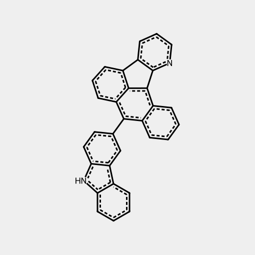 c1cnc2c(c1)-c1cccc3c(-c4ccc5[nH]c6ccccc6c5c4)c4ccccc4c-2c13